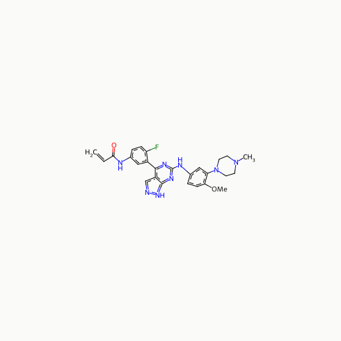 C=CC(=O)Nc1ccc(F)c(-c2nc(Nc3ccc(OC)c(N4CCN(C)CC4)c3)nc3[nH]ncc23)c1